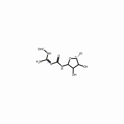 CC[C@H]1OC(NC(=O)/N=C(/N)NC=O)C(O)C1O